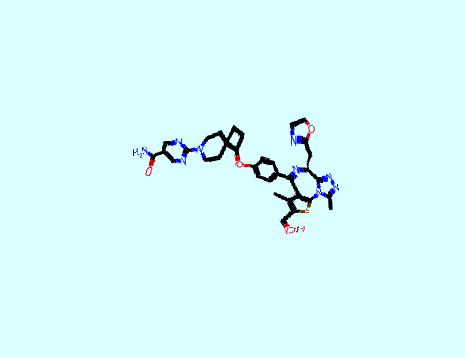 Cc1c(CO)sc2c1C(c1ccc(OC3CCC34CCN(c3ncc(C(N)=O)cn3)CC4)cc1)=N[C@@H](Cc1ncco1)c1nnc(C)n1-2